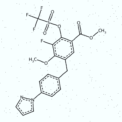 COC(=O)c1cc(Cc2ccc(-n3cccn3)cc2)c(OC)c(F)c1OS(=O)(=O)C(F)(F)F